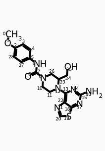 COc1ccc(NC(=O)N2CCN(c3nc(N)nc4scnc34)C(CO)C2)cc1